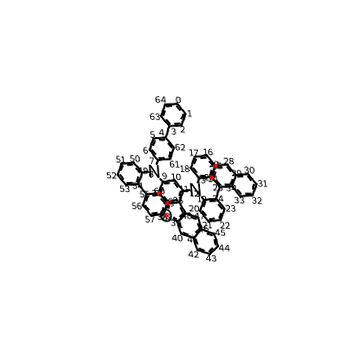 c1ccc(-c2ccc(N(c3cc(N(c4ccccc4)c4ccccc4-c4cccc5ccccc45)c4c(c3)oc3cc5ccccc5cc34)c3ccccc3-c3ccccc3)cc2)cc1